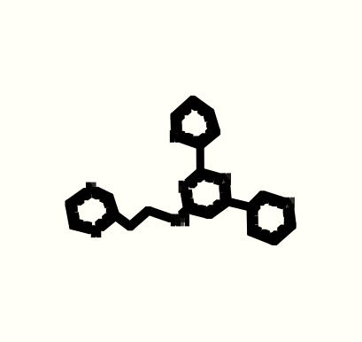 c1ccc(-c2nc(NCCc3cnccn3)cc(-c3cccnc3)n2)nc1